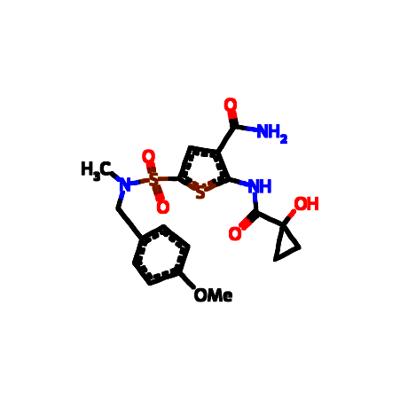 COc1ccc(CN(C)S(=O)(=O)c2cc(C(N)=O)c(NC(=O)C3(O)CC3)s2)cc1